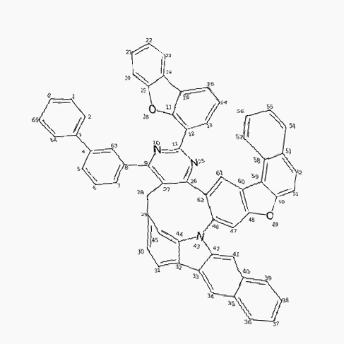 c1ccc(-c2cccc(-c3nc(-c4cccc5c4oc4ccccc45)nc4c3Cc3ccc5c6cc7ccccc7cc6n(c5c3)-c3cc5oc6ccc7ccccc7c6c5cc3-4)c2)cc1